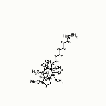 CO[C@@H]1CC[C@@]23CCC(C)[C@@](C)(C[C@H](O)[C@](C)(CCCCCCCCNP)C(=O)[C@@H]2C)[C@H]13